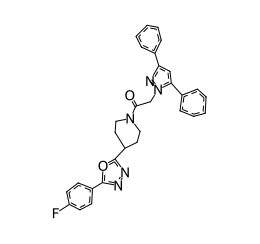 O=C(Cn1nc(-c2ccccc2)cc1-c1ccccc1)N1CCC(c2nnc(-c3ccc(F)cc3)o2)CC1